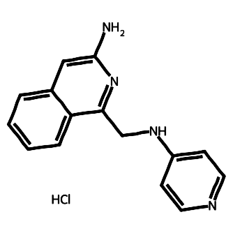 Cl.Nc1cc2ccccc2c(CNc2ccncc2)n1